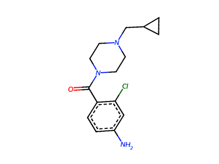 Nc1ccc(C(=O)N2CCN(CC3CC3)CC2)c(Cl)c1